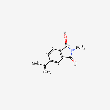 C=C(NC)c1ccc2c(c1)C(=O)N(C)C2=O